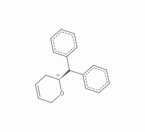 C1=CC[C@@H](C(c2ccccc2)c2ccccc2)OC1